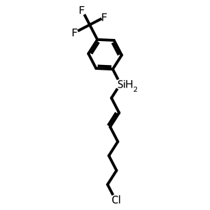 FC(F)(F)c1ccc([SiH2]CC=CCCCCCl)cc1